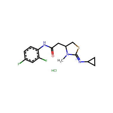 CN1/C(=N/C2CC2)SCC1CC(=O)Nc1ccc(F)cc1F.Cl